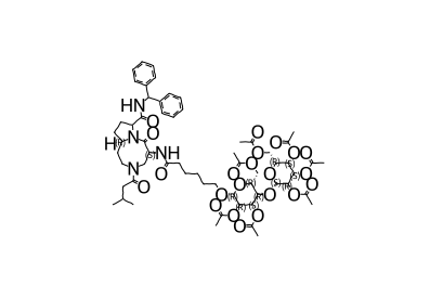 CC(=O)OC[C@H]1O[C@@H](O[C@H]2[C@H](OC(C)=O)[C@@H](OC(C)=O)[C@H](OCCCCCC(=O)N[C@H]3CN(C(=O)CC(C)C)CC[C@H]4CCC(C(=O)NC(c5ccccc5)c5ccccc5)N4C3=O)O[C@@H]2COC(C)=O)[C@H](OC(C)=O)[C@@H](OC(C)=O)[C@H]1OC(C)=O